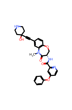 CN1C(=O)[C@@H](NC(=O)c2cc(Oc3ccccc3)ccn2)COc2ccc(C#CC3(O)CCNCC3)cc21